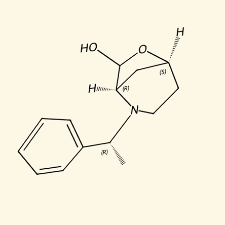 C[C@H](c1ccccc1)N1CC[C@H]2C[C@@H]1C(O)O2